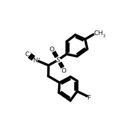 [C-]#[N+]C(Cc1ccc(F)cc1)S(=O)(=O)c1ccc(C)cc1